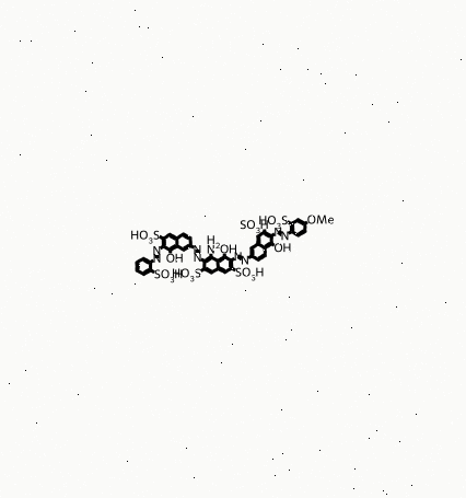 COc1ccc(N=Nc2c(S(=O)(=O)O)cc3cc(N=Nc4c(S(=O)(=O)O)cc5cc(S(=O)(=O)O)c(N=Nc6ccc7cc(S(=O)(=O)O)c(N=Nc8ccccc8S(=O)(=O)O)c(O)c7c6)c(N)c5c4O)ccc3c2O)c(S(=O)(=O)O)c1